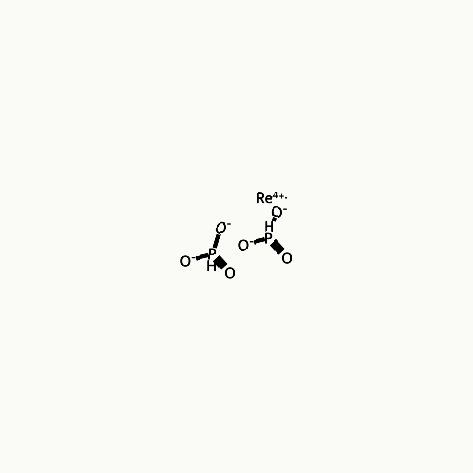 O=[PH]([O-])[O-].O=[PH]([O-])[O-].[Re+4]